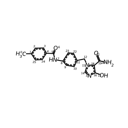 Cc1ccc(C(=O)Nc2ccc(Cn3cnc(O)c3C(N)=O)cc2)cc1